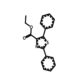 CCOC(=O)c1nc(-c2ccccc2)sc1-c1ccccc1